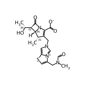 C[C@@H](O)[C@H]1C(=O)N2C(C(=O)[O-])=C(Cn3cc4scc(CN(C)C=O)[n+]4c3)[C@H](C)[C@H]12